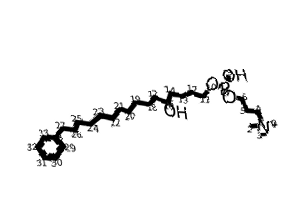 C[N+](C)(C)CCCOP(O)OCCCCC(O)CCCCCCCCCCCc1ccccc1